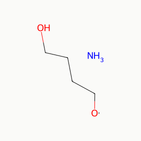 N.[O]CCCCO